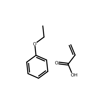 C=CC(=O)O.CCOc1ccccc1